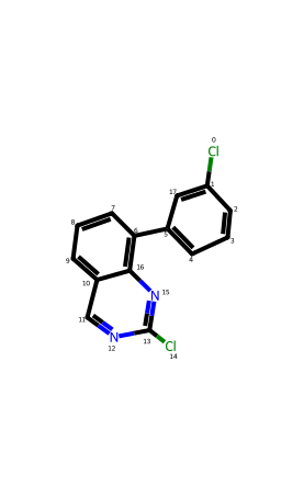 Clc1cccc(-c2cccc3cnc(Cl)nc23)c1